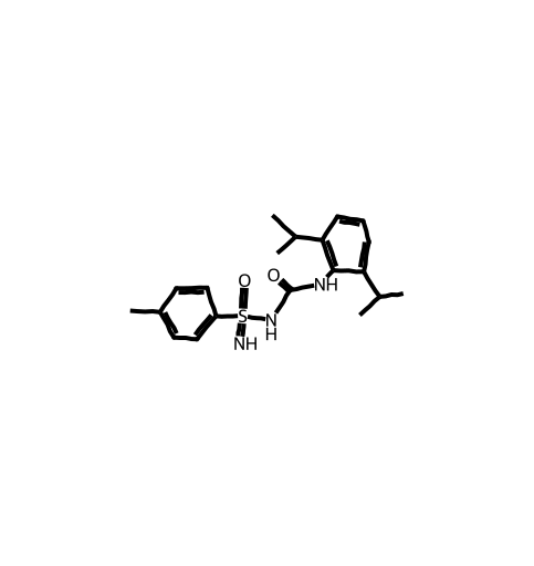 Cc1ccc(S(=N)(=O)NC(=O)Nc2c(C(C)C)cccc2C(C)C)cc1